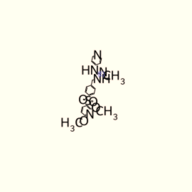 C/N=C(\NCc1ccc(S(=O)(=O)c2ccc(OC)nc2OC)cc1)Nc1ccncc1